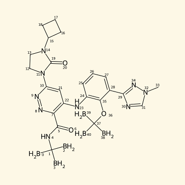 BC(B)(B)NC(=O)c1nnc(N2CCN(C3CCC3)C2=O)cc1Nc1cccc(-c2ncn(C)n2)c1OC(B)(B)B